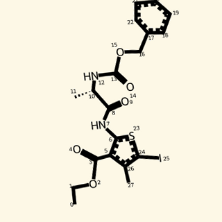 CCOC(=O)c1c(NC(=O)[C@H](C)NC(=O)OCc2ccccc2)sc(I)c1C